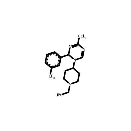 CC(C)CN1CCC(N2C=NC(C(Cl)(Cl)Cl)=NC2c2cccc(C(F)(F)F)c2)CC1